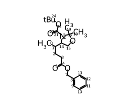 CC(CCC(=O)OCc1ccccc1)C1COC(C)(C)N1C(=O)OC(C)(C)C